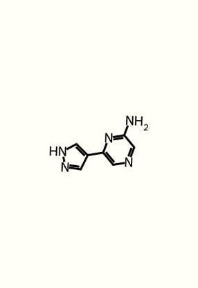 Nc1cncc(-c2cn[nH]c2)n1